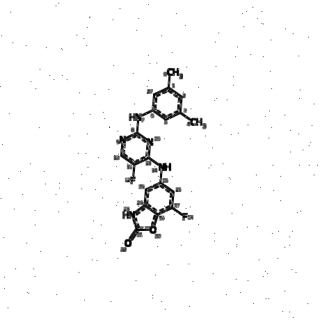 Cc1cc(C)cc(Nc2ncc(F)c(Nc3cc(F)c4oc(=O)[nH]c4c3)n2)c1